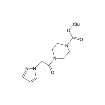 CC(C)(C)OC(=O)N1CCN(C(=O)Cn2cccn2)CC1